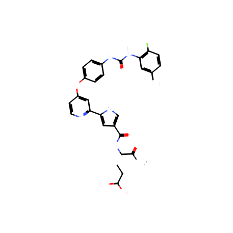 COC(=O)[C@H](CCC(O)O)NC(=O)c1c[nH]c(-c2cc(Oc3ccc(NC(=O)Nc4cc(C)ccc4F)cc3)ccn2)c1